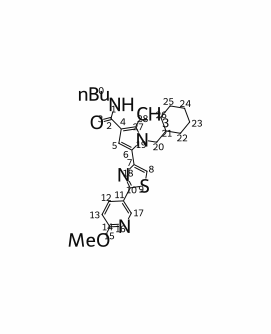 CCCCNC(=O)c1cc(-c2csc(-c3ccc(OC)nc3)n2)n(CC2CCCCC2)c1C